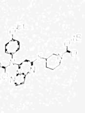 CCOc1ccc(N(C(=O)OC(C)(C)C)c2cc(SC3CCCN(C(=O)OC(C)(C)C)C3)nc3ccnn23)cc1